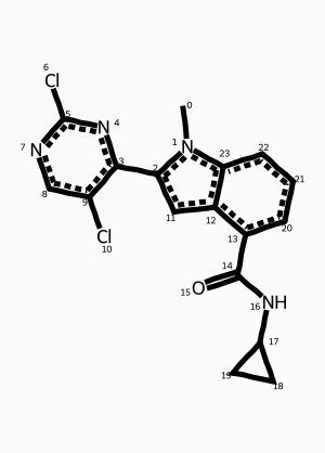 Cn1c(-c2nc(Cl)ncc2Cl)cc2c(C(=O)NC3CC3)cccc21